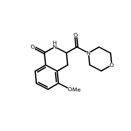 COc1cccc2c1CC(C(=O)N1CCOCC1)NC2=O